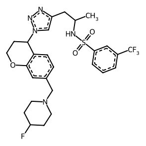 CC(Cc1cn(C2CCOc3cc(CN4CCC(F)CC4)ccc32)nn1)NS(=O)(=O)c1cccc(C(F)(F)F)c1